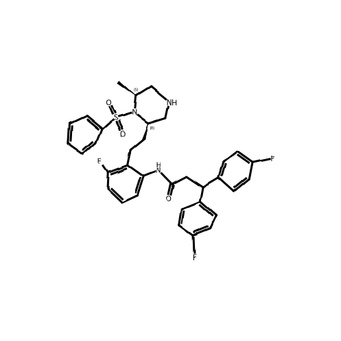 C[C@H]1CNC[C@@H](CCc2c(F)cccc2NC(=O)CC(c2ccc(F)cc2)c2ccc(F)cc2)N1S(=O)(=O)c1ccccc1